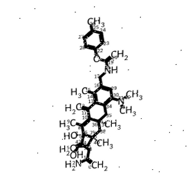 C=C(N)CC(=C)[C@@]1(O)C(C)=C2C(=C)c3c(C)c(CNC(=C)Oc4ccc(C)cc4)cc(N(C)C)c3C[C@@]2(C)C[C@@]1(C)CCO